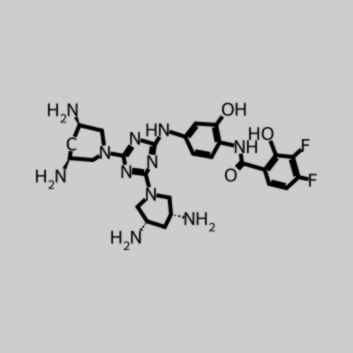 N[C@@H]1C[C@H](N)CN(c2nc(Nc3ccc(NC(=O)c4ccc(F)c(F)c4O)c(O)c3)nc(N3C[C@H](N)C[C@H](N)C3)n2)C1